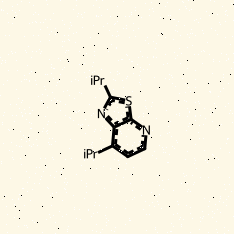 CC(C)c1nc2c(C(C)C)ccnc2s1